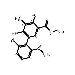 COC(=O)c1nc(-c2c(Cl)cccc2OC)c(F)c(N)c1Cl